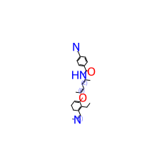 CCC1=C(/C=N\C)CCC=C1O/C(C)=C/C=C(\C)NC(=O)c1ccc(C#N)cc1